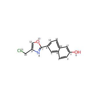 Oc1ccc2cc(-c3nc(CCl)co3)ccc2c1